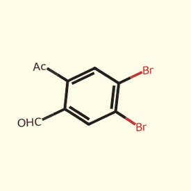 CC(=O)c1cc(Br)c(Br)cc1C=O